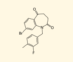 Cc1ccc(CN2C(=O)CCC(=O)c3ccc(Br)cc32)cc1F